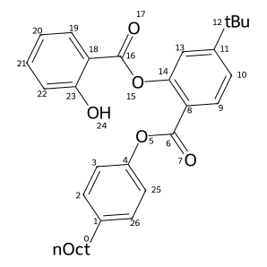 CCCCCCCCc1ccc(OC(=O)c2ccc(C(C)(C)C)cc2OC(=O)c2ccccc2O)cc1